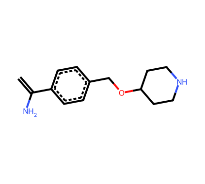 C=C(N)c1ccc(COC2CCNCC2)cc1